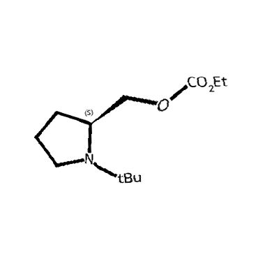 CCOC(=O)OC[C@@H]1CCCN1C(C)(C)C